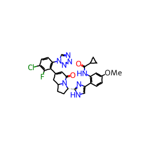 COc1ccc(-c2c[nH]c([C@@H]3CCC4CC(c5c(-n6cnnn6)ccc(Cl)c5F)=CC(=O)N43)n2)c(NC(=O)C2CC2)c1